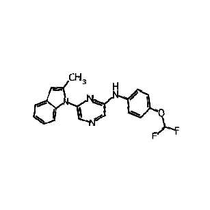 Cc1cc2ccccc2n1-c1cncc(Nc2ccc(OC(F)F)cc2)n1